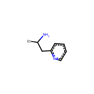 CCC(N)[CH]c1ccccn1